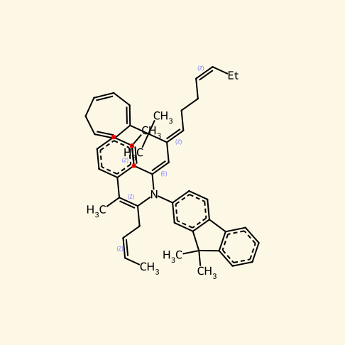 C/C=C\C/C(=C(\C)c1ccccc1)N(C(/C=C\C)=C/C(=C/CC/C=C\CC)C(C)(C)C1=CC=CCC=C1)c1ccc2c(c1)C(C)(C)c1ccccc1-2